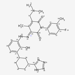 CC1=C(CN(C)C)C(=O)N(c2ccc(F)c(C)c2)C(=O)/C1=N/Nc1cccc(C2CCCC(c3nnn[nH]3)C2)c1O